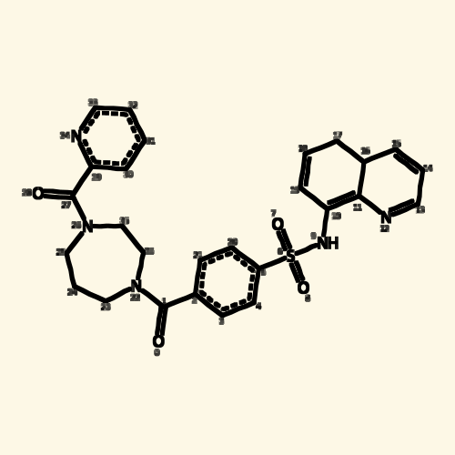 O=C(c1ccc(S(=O)(=O)NC2=C3N=CC=CC3CC=C2)cc1)N1CCCN(C(=O)c2ccccn2)CC1